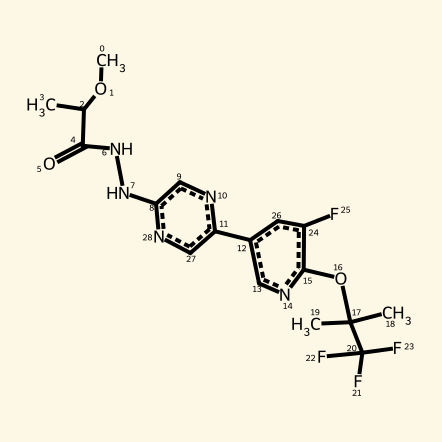 COC(C)C(=O)NNc1cnc(-c2cnc(OC(C)(C)C(F)(F)F)c(F)c2)cn1